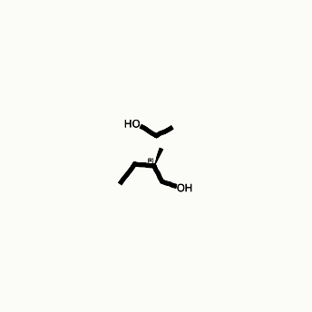 CCO.CC[C@@H](C)CO